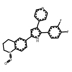 O=S=S1CCCc2cc(-c3cc(-c4ccncc4)c(-c4ccc(F)c(F)c4)[nH]3)ccc21